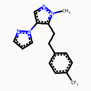 Cn1ncc(-n2cccn2)c1CCc1ccc(C(F)(F)F)cc1